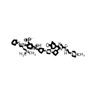 CN(C)CC[C@H](CSc1ccccc1)Nc1ccc(P(O)Nc2ccc(N3CCN(c4cccc(-c5nc(C(=O)NCCN6CCN(C)CC6)cnc5C5C=CC(Cl)=CC5)c4)CC3)cc2)cc1[N+](=O)[O-]